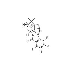 C[C@@H]1[C@@H](N2C(=O)c3c(F)c(F)c(F)c(F)c3C2=O)C[C@H]2C[C@@H]1C2(C)C